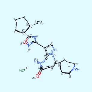 C[C@H]1CCC[C@H]1c1nc(-c2cnn3c(C4CCNCC4)cc(=O)[nH]c23)no1.Cl